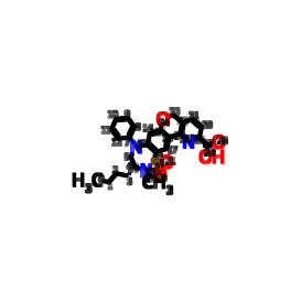 CCCC[C@@H]1CN(c2ccccc2)c2cc3c(cc2S(=O)(=O)N1C)-c1nc(C(=O)O)ccc1CO3